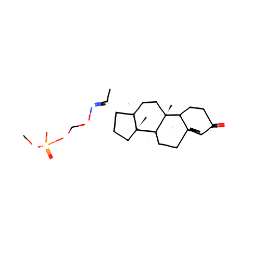 COP(=O)(O)OCO/N=C(/C)[C@H]1CC[C@H]2[C@@H]3CCC4=CC(=O)CC[C@]4(C)[C@H]3CC[C@]12C